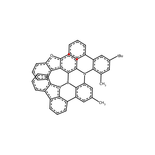 Cc1cc2c3c(c1)N(c1c(C)cc(C(C)(C)C)cc1-c1ccccc1)c1ccc4oc5ccccc5c4c1B3n1c3ccccc3c3cccc-2c31